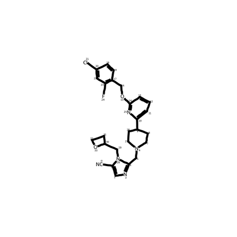 N#Cc1cnc(CN2CCC(c3cccc(OCc4ccc(Cl)cc4F)n3)CC2)n1CC1CCO1